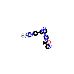 CCN1CCN(c2ccc(-c3cc4c(N5CCN(C(=O)C6(c7cccnc7)CC6)CC5)ccnn4c3)cc2)CC1